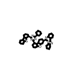 c1ccc(-c2nc(-c3cccc4c3sc3ccccc34)nc(-c3cccc4oc5cc(-c6nc7ccccc7c7nc8ccccc8n67)ccc5c34)n2)cc1